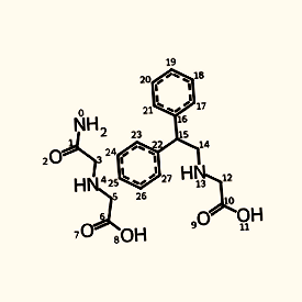 NC(=O)CNCC(=O)O.O=C(O)CNCC(c1ccccc1)c1ccccc1